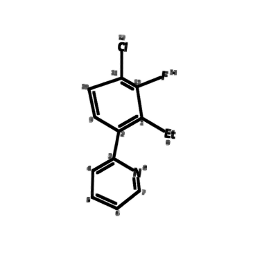 CCc1c(-c2ccccn2)ccc(Cl)c1F